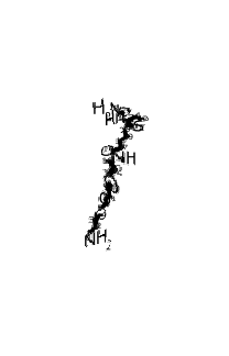 NCCCOCCOCCOCCCNC(=O)CCCC[C@@H]1SCC[C@@H]1NC(N)=O